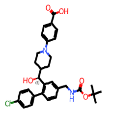 CC(C)(C)OC(=O)NCc1ccc(-c2ccc(Cl)cc2)c([C@@H](O)C2CCN(c3ccc(C(=O)O)cc3)CC2)c1